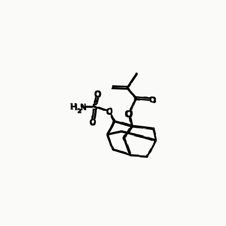 C=C(C)C(=O)OC12CC3CC(CC(C3)C1OS(N)(=O)=O)C2